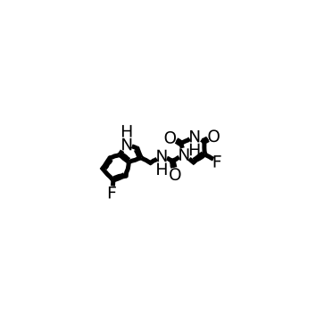 O=C(NCc1c[nH]c2ccc(F)cc12)n1cc(F)c(=O)[nH]c1=O